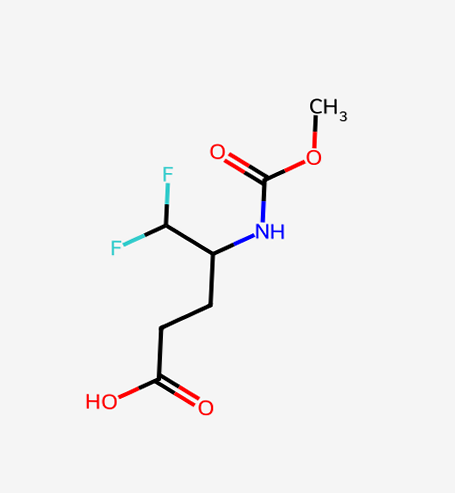 COC(=O)NC(CCC(=O)O)C(F)F